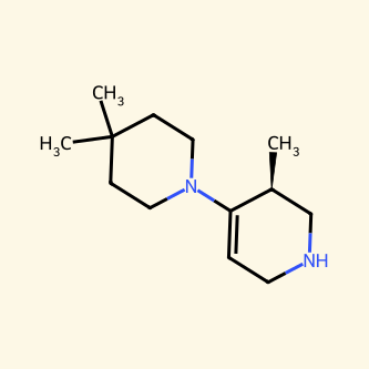 C[C@H]1CNCC=C1N1CCC(C)(C)CC1